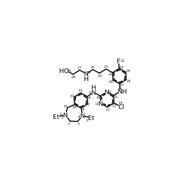 CCN1CCN(CC)c2cc(Nc3ncc(Cl)c(Nc4ccc(F)c(CCCNCCO)c4)n3)ccc2C1